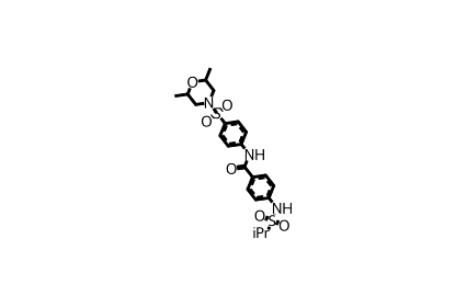 CC1CN(S(=O)(=O)c2ccc(NC(=O)c3ccc(NS(=O)(=O)C(C)C)cc3)cc2)CC(C)O1